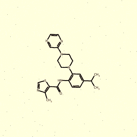 Cc1ncsc1C(=O)Nc1ccc(C(C)C)cc1N1CCN(c2cnccn2)CC1